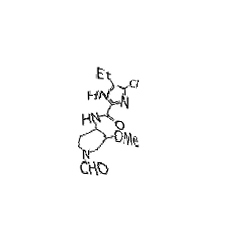 CCc1[nH]c(C(=O)NC2CCN(C=O)CC2OC)nc1Cl